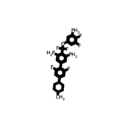 CC1CCC(c2cc(F)c(-c3cc(P)c(C(F)(F)Oc4cc(F)c(F)c(P)c4)c(P)c3)c(F)c2)CC1